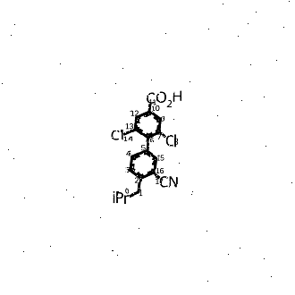 CC(C)Cc1ccc(-c2c(Cl)cc(C(=O)O)cc2Cl)cc1C#N